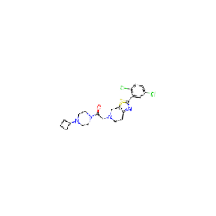 O=C(CN1CCc2nc(-c3cc(Cl)ccc3Cl)sc2C1)N1CCN(C2CCC2)CC1